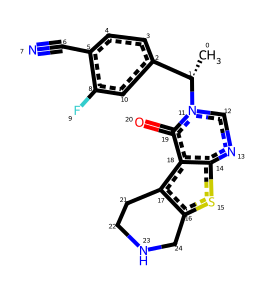 C[C@@H](c1ccc(C#N)c(F)c1)n1cnc2sc3c(c2c1=O)CCNC3